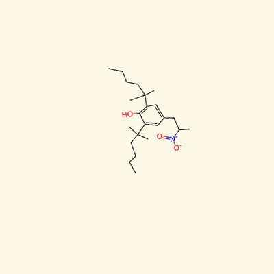 CCCCC(C)(C)c1cc(CC(C)[N+](=O)[O-])cc(C(C)(C)CCCC)c1O